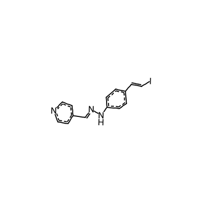 IC=Cc1ccc(NN=Cc2ccncc2)cc1